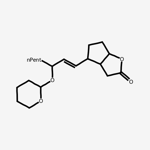 CCCCCC(/C=C/C1CCC2OC(=O)CC12)OC1CCCCO1